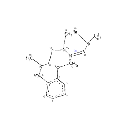 COc1ccccc1NC(C)CCN(C)/N=N\C(C)Br